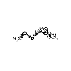 COc1cccc(CCOCc2cccc(CCNC[C@H](O)c3ccc(OC(C)=O)c(CO)c3)c2)c1